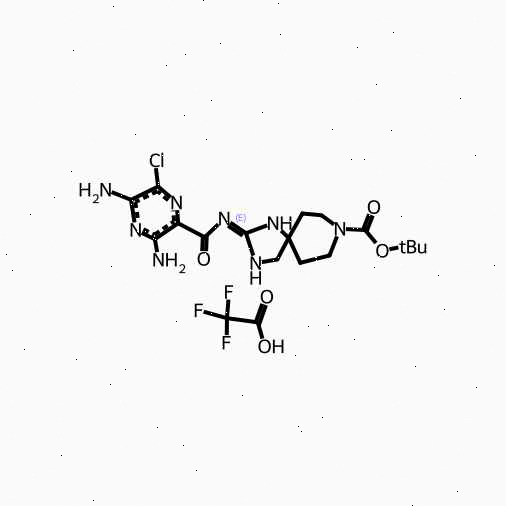 CC(C)(C)OC(=O)N1CCC2(CC1)CN/C(=N\C(=O)c1nc(Cl)c(N)nc1N)N2.O=C(O)C(F)(F)F